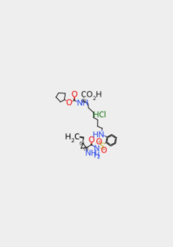 C=C[C@@H]1C[C@@]1(N)C(=O)NS(=O)(=O)c1ccccc1NCCCCCCC[C@H](NC(=O)OC1CCCC1)C(=O)O.Cl